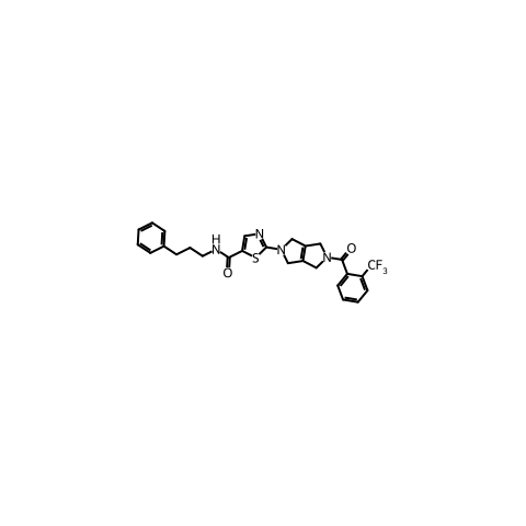 O=C(NCCCc1ccccc1)c1cnc(N2CC3=C(CN(C(=O)c4ccccc4C(F)(F)F)C3)C2)s1